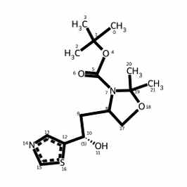 CC(C)(C)OC(=O)N1C(C[C@H](O)c2cncs2)COC1(C)C